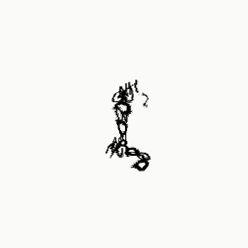 Nc1ncnc2c1c(-c1ccc(Oc3ccccc3)cc1)cn2[C@H]1CC[C@H](N2CCC(S(N)(=O)=O)CC2)CC1